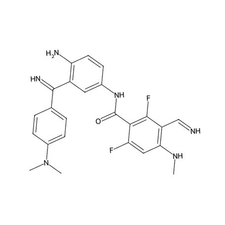 CNc1cc(F)c(C(=O)Nc2ccc(N)c(C(=N)c3ccc(N(C)C)cc3)c2)c(F)c1C=N